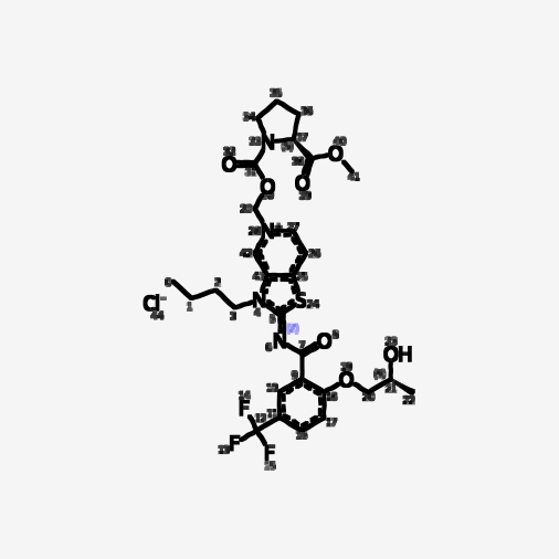 CCCCn1/c(=N/C(=O)c2cc(C(F)(F)F)ccc2OC[C@H](C)O)sc2cc[n+](COC(=O)N3CCC[C@H]3C(=O)OC)cc21.[Cl-]